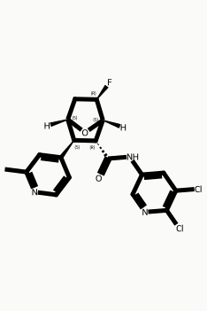 Cc1cc([C@@H]2[C@@H](C(=O)Nc3cnc(Cl)c(Cl)c3)[C@@H]3O[C@H]2C[C@H]3F)ccn1